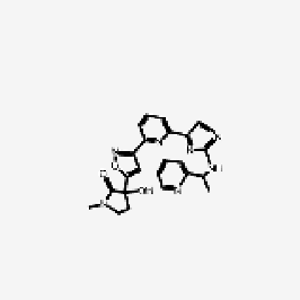 CC(Nc1nccc(-c2cccc(-c3cc(C4(O)CCN(C)C4=O)on3)n2)n1)c1ccccn1